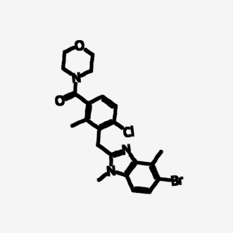 Cc1c(C(=O)N2CCOCC2)ccc(Cl)c1Cc1nc2c(C)c(Br)ccc2n1C